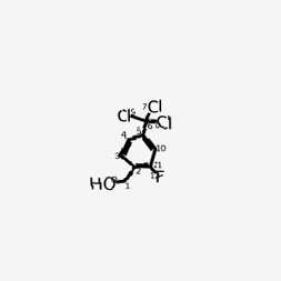 OCc1ccc(C(Cl)(Cl)Cl)cc1F